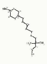 CC(C)(CCCCOCCN1CCN(C(C)(C)C)CC1)CSS